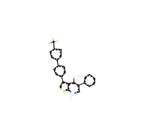 O=c1[nH]c2scc(-c3ccc(-c4ccc(C(F)(F)F)cc4)cc3)c2c(O)c1-c1ccccc1